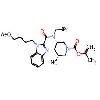 C=C(C)OC(=O)N1C[C@H](C#N)C[C@H](N(CC(C)C)C(=O)c2nc3ccccc3n2CCCCOC)C1